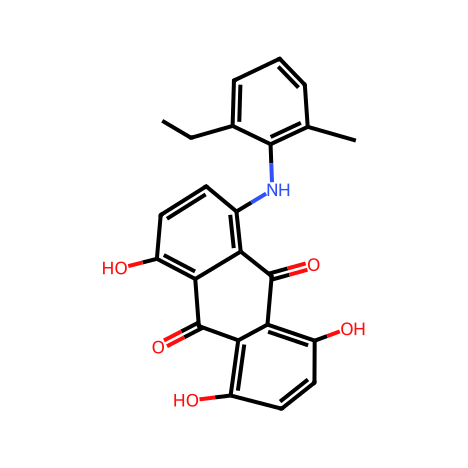 CCc1cccc(C)c1Nc1ccc(O)c2c1C(=O)c1c(O)ccc(O)c1C2=O